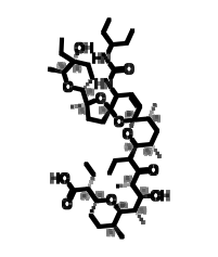 CCC(CC)NC(=O)NC1C=C[C@]2(O[C@H](C(CC)C(=O)[C@@H](C)[C@@H](O)[C@H](C)[C@@H]3O[C@@H]([C@@H](CC)C(=O)O)CC[C@@H]3C)[C@@H](C)C[C@H]2C)O[C@@]12CC[C@@](C)([C@H]1CC[C@](O)(CC)[C@H](C)O1)O2